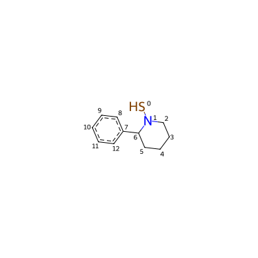 SN1CCCCC1c1ccccc1